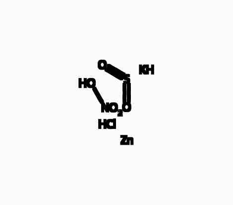 Cl.O=S=O.O=[N+]([O-])O.[KH].[Zn]